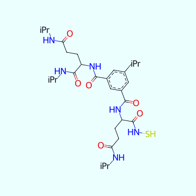 CC(C)NC(=O)CCC(NC(=O)c1cc(C(=O)NC(CCC(=O)NC(C)C)C(=O)NC(C)C)cc(C(C)C)c1)C(=O)NS